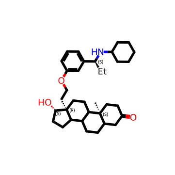 CC[C@H](NC1CCCCC1)c1cccc(OCC[C@]23CCC4C(CCC5CC(=O)CC[C@@]54C)C2CC[C@@H]3O)c1